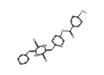 Cc1ccc(C(=O)Oc2ccc(/C=c3\[nH]c(=O)/c(=C/c4ccccc4)[nH]c3=O)nc2)cc1